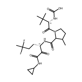 CC1CCN(C(=O)[C@@H](NC(=O)O)C(C)(C)C)C1C(=O)N[C@@H](CCC(C)(F)F)C(=O)C(=O)NC1CC1